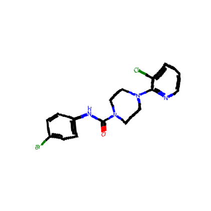 O=C(Nc1ccc(Br)cc1)N1CCN(c2ncccc2Cl)CC1